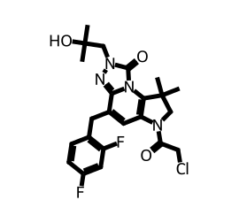 CC(C)(O)Cn1nc2c(Cc3ccc(F)cc3F)cc3c(n2c1=O)C(C)(C)CN3C(=O)CCl